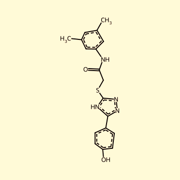 Cc1cc(C)cc(NC(=O)CSc2nnc(-c3ccc(O)cc3)[nH]2)c1